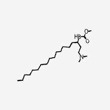 CCCCCCCCCCCCCCCC(BC(=O)OC)CCN(C)C